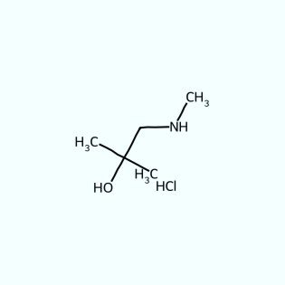 CNCC(C)(C)O.Cl